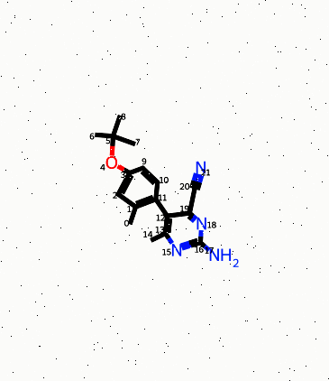 Cc1cc(OC(C)(C)C)ccc1-c1c(C)nc(N)nc1C#N